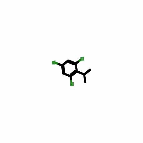 C[C](C)c1c(Cl)cc(Cl)cc1Cl